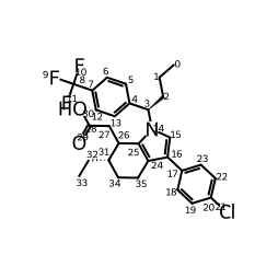 CCC[C@H](c1ccc(C(F)(F)F)cc1)n1cc(-c2ccc(Cl)cc2)c2c1C(CC(=O)O)[C@@H](CC)CC2